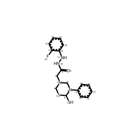 O=C(CN1CSC(S)N(c2ccccc2)C1)NNc1ccccc1F